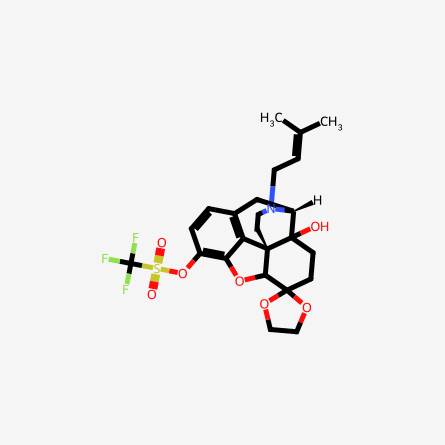 CC(C)=CCN1CC[C@]23c4c5ccc(OS(=O)(=O)C(F)(F)F)c4OC2C2(CCC3(O)[C@H]1C5)OCCO2